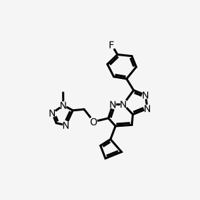 Cn1ncnc1COc1nn2c(-c3ccc(F)cc3)nnc2cc1C1=CC=C1